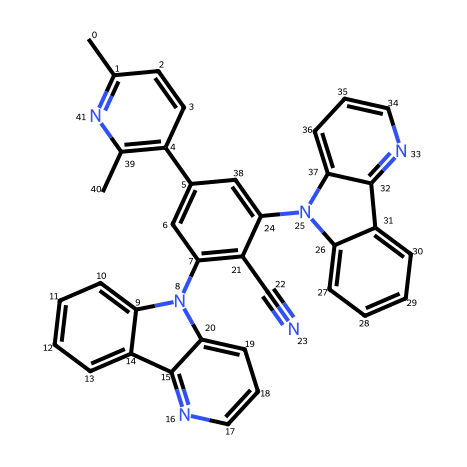 Cc1ccc(-c2cc(-n3c4ccccc4c4ncccc43)c(C#N)c(-n3c4ccccc4c4ncccc43)c2)c(C)n1